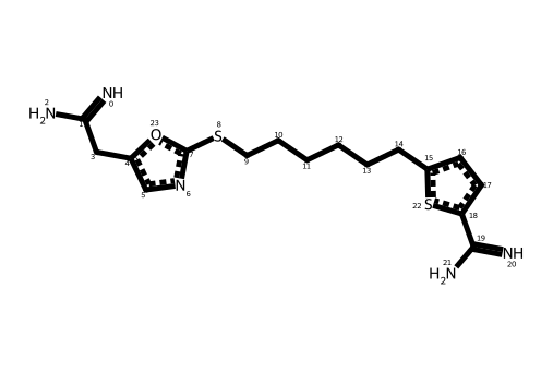 N=C(N)Cc1cnc(SCCCCCCc2ccc(C(=N)N)s2)o1